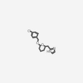 Clc1ccc(COC2CCCC(Cc3ncc[nH]3)O2)cc1